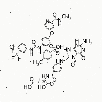 CNC(=O)c1cc(Oc2ccc(NC(=O)Nc3ccc(Cl)c(C(F)(F)F)c3)cc2)ccn1.Cc1ccc(S(=O)(=O)O)cc1.Nc1nc(=O)c2c([nH]1)NCC(CNc1ccc(C(=O)N[C@@H](CCC(=O)O)C(=O)O)cc1)N2C=O